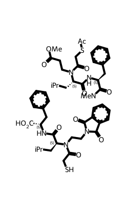 CC(C)C[C@@H](C(=O)N[C@@H](Cc1ccccc1)C(=O)O)N(CCN1C(=O)c2ccccc2C1=O)C(=O)CS.CNC(=O)[C@H](Cc1ccccc1)NC(=O)[C@H](CC(C)C)N(CCC(=O)OC)C(=O)CSC(C)=O